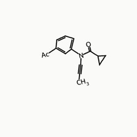 CC#CN(C(=O)C1CC1)c1cccc(C(C)=O)c1